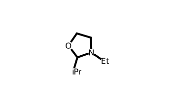 CCN1CCOC1C(C)C